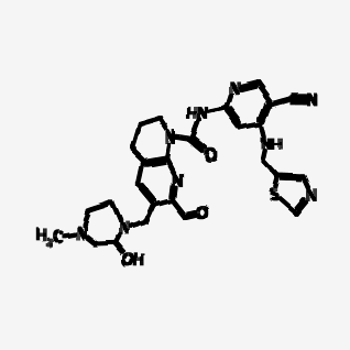 CN1CCN(Cc2cc3c(nc2C=O)N(C(=O)Nc2cc(NCc4cncs4)c(C#N)cn2)CCC3)C(O)C1